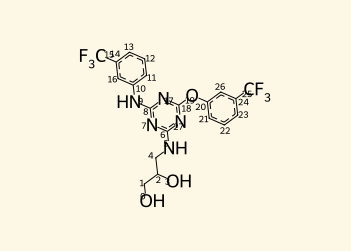 OCC(O)CNc1nc(Nc2cccc(C(F)(F)F)c2)nc(Oc2cccc(C(F)(F)F)c2)n1